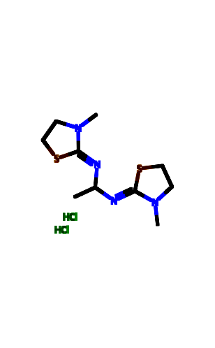 CC(N=C1SCCN1C)N=C1SCCN1C.Cl.Cl